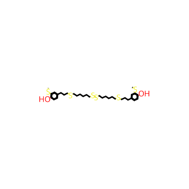 CSc1cc(CCCSCCCCCCSSCCCCCCSCCCc2ccc(O)c(SC)c2)ccc1O